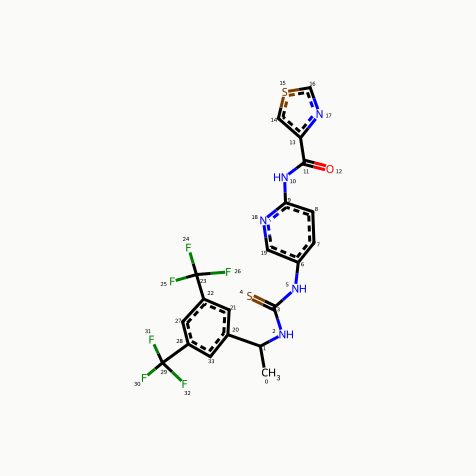 CC(NC(=S)Nc1ccc(NC(=O)c2cscn2)nc1)c1cc(C(F)(F)F)cc(C(F)(F)F)c1